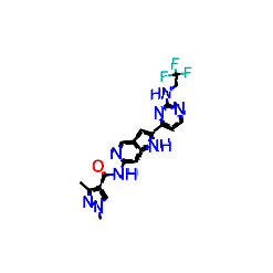 Cc1nn(C)cc1C(=O)Nc1cc2[nH]c(-c3ccnc(NCC(F)(F)F)n3)cc2cn1